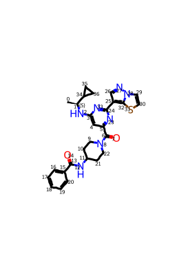 C[C@H](Nc1cc(C(=O)N2CCC(NC(=O)c3ccccc3)CC2)nc(-c2cnn3ccsc23)n1)C1CC1